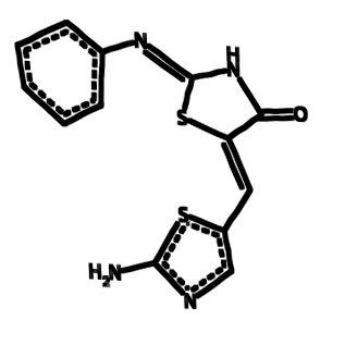 Nc1ncc(C=C2SC(=Nc3ccccc3)NC2=O)s1